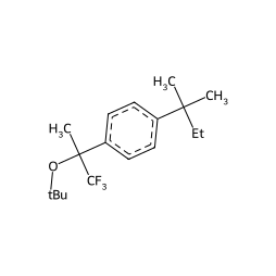 CCC(C)(C)c1ccc(C(C)(OC(C)(C)C)C(F)(F)F)cc1